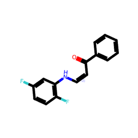 O=C(/C=C\Nc1cc(F)ccc1F)c1ccccc1